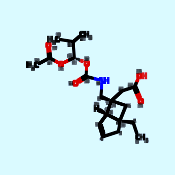 CC[C@@]12CC=C[C@@H]1[C@](CNC(=O)O[C@H](OC(C)=O)C(C)C)(CC(=O)O)C2